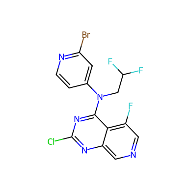 Fc1cncc2nc(Cl)nc(N(CC(F)F)c3ccnc(Br)c3)c12